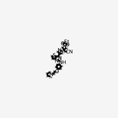 CCS(=O)(=O)N1CC(CC#N)(n2cc(-c3nc(Nc4ccc(OCCN5CCCC5)cc4)nc4ccsc34)cn2)C1